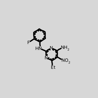 CCc1nc(Nc2ccccc2F)nc(N)c1[N+](=O)[O-]